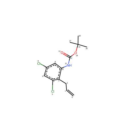 C=CCc1c(Cl)cc(Cl)cc1NC(=O)OC(C)(C)C